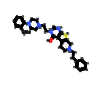 COc1ccccc1N1CCN(CCn2cnc3sc4c(c3c2=O)CCN(CCc2ccccc2)C4)CC1